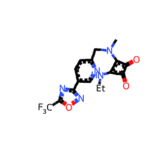 CCNc1c(N(C)Cc2ccc(-c3noc(C(F)(F)F)n3)cn2)c(=O)c1=O